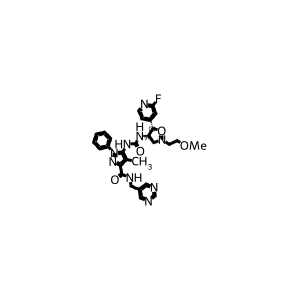 COCCN1C[C@@H](NC(=O)Nc2c(C)c(C(=O)NCc3cncnc3)nn2-c2ccccc2)[C@H](c2ccnc(F)c2)O1